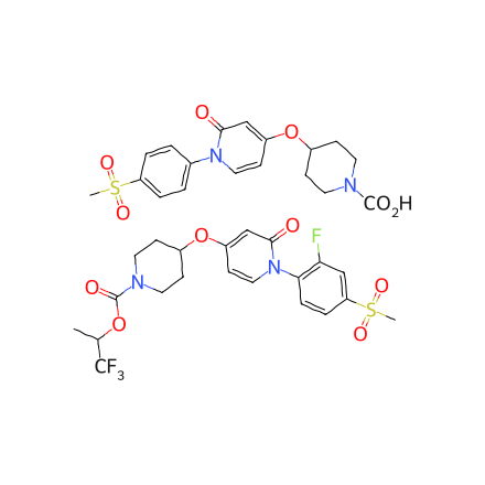 CC(OC(=O)N1CCC(Oc2ccn(-c3ccc(S(C)(=O)=O)cc3F)c(=O)c2)CC1)C(F)(F)F.CS(=O)(=O)c1ccc(-n2ccc(OC3CCN(C(=O)O)CC3)cc2=O)cc1